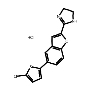 Cl.Clc1ccc(-c2ccc3oc(C4=NCCN4)cc3c2)s1